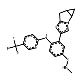 CNSc1ccc(Nc2ccc(C(F)(F)F)cn2)c(-c2cn3c(n2)CC2CC23)c1